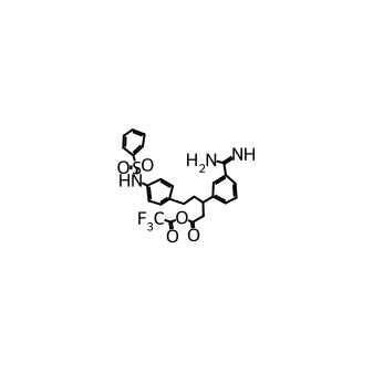 N=C(N)c1cccc(C(CCc2ccc(NS(=O)(=O)c3ccccc3)cc2)CC(=O)OC(=O)C(F)(F)F)c1